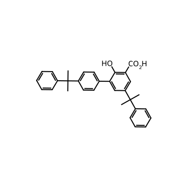 CC(C)(c1ccccc1)c1ccc(-c2cc(C(C)(C)c3ccccc3)cc(C(=O)O)c2O)cc1